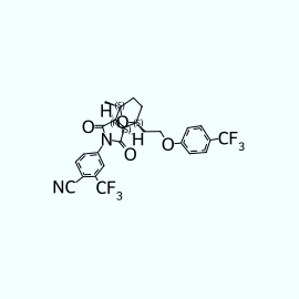 C[C@@]12CC[C@@](CCOc3ccc(C(F)(F)F)cc3)(O1)[C@H]1C(=O)N(c3ccc(C#N)c(C(F)(F)F)c3)C(=O)[C@H]12